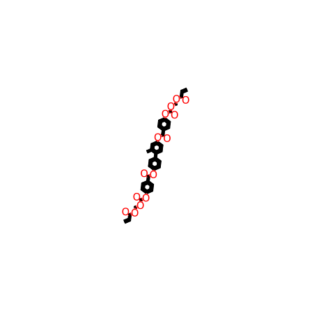 C=CC(=O)OCOC(=O)Oc1ccc(C(=O)Oc2ccc(-c3ccc(OC(=O)c4ccc(OC(=O)OCOC(=O)C=C)cc4)cc3C)cc2)cc1